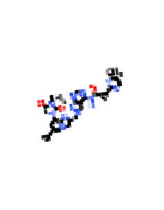 Cc1ccnc(C2CC2C(=O)Nc2ncnc3nn(Cc4cn5cc(C6CC6)cc(N6CC(=O)N(C)C6=O)c5n4)cc23)n1